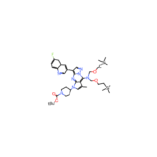 Cc1cn(C2CCN(C(=O)OC(C)(C)C)CC2)c2nc3c(C4=CC5CC(F)=CC=C5N=C4)cnn3c(N(COCC[Si](C)(C)C)COCC[Si](C)(C)C)c12